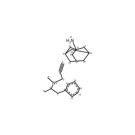 C#CCN(C)C(C)Cc1ccccc1.NC12CC3CC(CC(C3)C1)C2